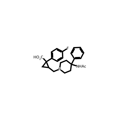 CC(=O)NC1(c2ccccc2)CCN(CC2CC2(C(=O)O)c2ccc(F)cc2)CC1